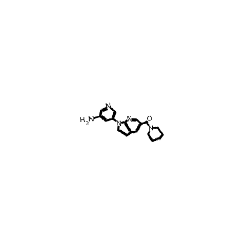 Nc1cncc(-n2ccc3cc(C(=O)N4CCCCC4)cnc32)c1